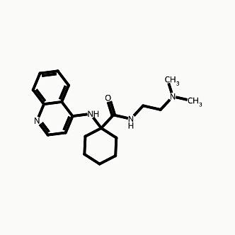 CN(C)CCNC(=O)C1(Nc2ccnc3ccccc23)CCCCC1